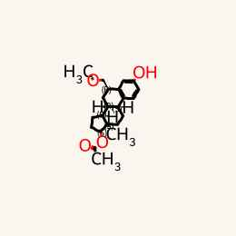 COC[C@@H]1C[C@@H]2[C@H](CC[C@]3(C)[C@@H](OC(C)=O)CC[C@@H]23)c2ccc(O)cc21